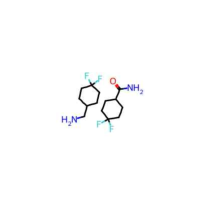 NC(=O)C1CCC(F)(F)CC1.NCC1CCC(F)(F)CC1